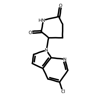 O=C1CCC(n2ccc3cc(Cl)cnc32)C(=O)N1